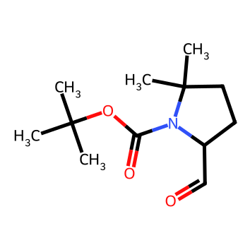 CC(C)(C)OC(=O)N1C(C=O)CCC1(C)C